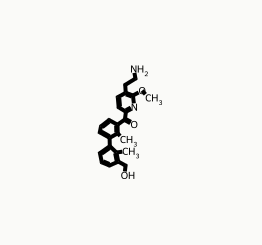 COc1nc(C(=O)c2cccc(-c3cccc(CO)c3C)c2C)ccc1CCN